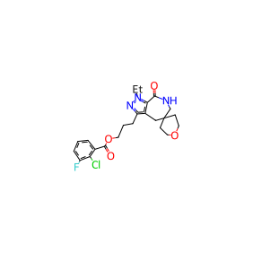 CCn1nc(CCCOC(=O)c2cccc(F)c2Cl)c2c1C(=O)NCC1(CCOCC1)C2